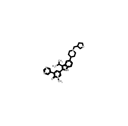 CC(C)c1c(-c2cc(-c3cncnc3)c(=O)n(C)c2)[nH]c2ccc(C3CCN(CC4CCOC4)CC3)cc12